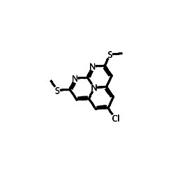 CSC1=CC2=CC(Cl)=CC3=CC(SC)=NC(=N1)N23